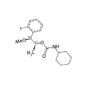 CO[C@@H](c1ccccc1I)[C@H](C)OC(=O)NC1CCCCC1